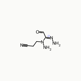 N#CCCN(N)/C(C=O)=N\N